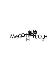 COc1ccc(CNc2cc(C(C)NC(=O)O)c(-c3ccccc3)nn2)cc1